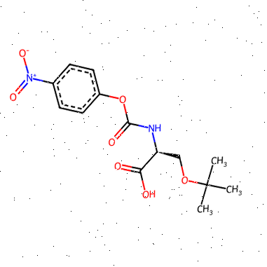 CC(C)(C)OC[C@H](NC(=O)Oc1ccc([N+](=O)[O-])cc1)C(=O)O